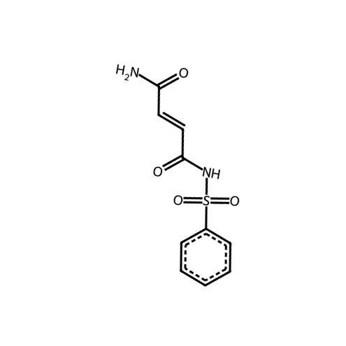 NC(=O)/C=C/C(=O)NS(=O)(=O)c1ccccc1